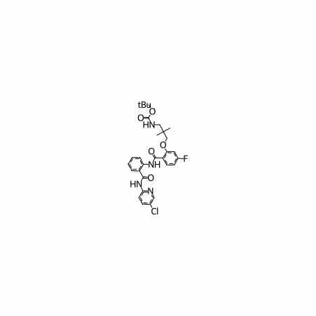 CC(C)(CNC(=O)OC(C)(C)C)COc1cc(F)ccc1C(=O)Nc1ccccc1C(=O)Nc1ccc(Cl)cn1